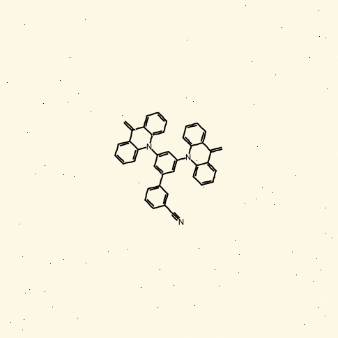 C=C1c2ccccc2N(c2cc(-c3cccc(C#N)c3)cc(N3c4ccccc4C(=C)c4ccccc43)c2)c2ccccc21